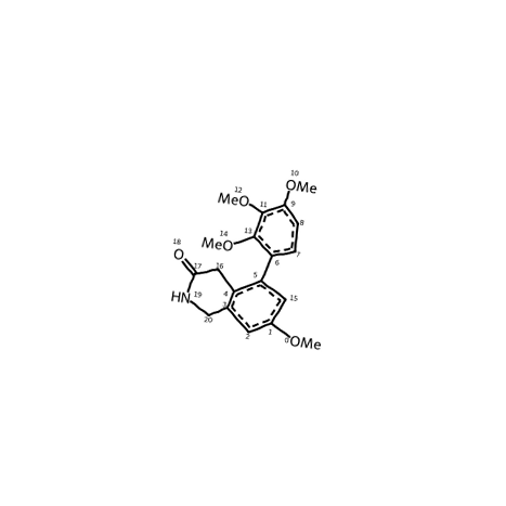 COc1cc2c(c(-c3ccc(OC)c(OC)c3OC)c1)CC(=O)NC2